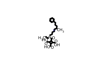 CCCN(CCC/C=C/[C@H](C)CCCc1ccccc1)C(=O)C1C(C(=O)O)C(C(=O)O)C1C(=O)O